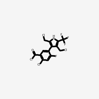 O=C(Cl)c1cc(-c2c(CCl)[nH]c(C(F)(F)F)c2CCl)c(F)cc1Cl